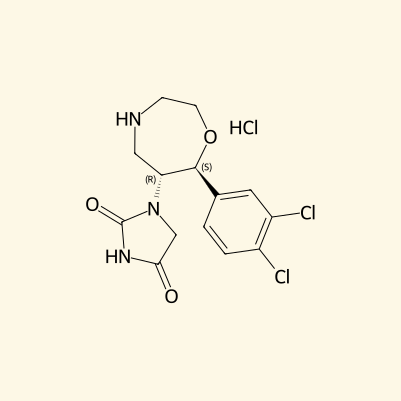 Cl.O=C1CN([C@@H]2CNCCO[C@H]2c2ccc(Cl)c(Cl)c2)C(=O)N1